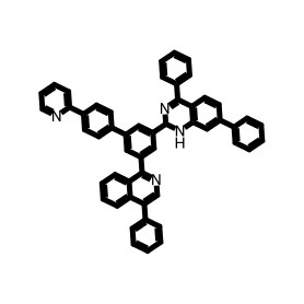 c1ccc(C2=NC(c3cc(-c4ccc(-c5ccccn5)cc4)cc(-c4ncc(-c5ccccc5)c5ccccc45)c3)Nc3cc(-c4ccccc4)ccc32)cc1